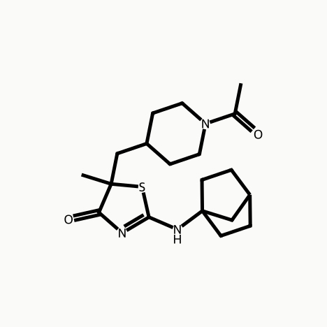 CC(=O)N1CCC(CC2(C)SC(NC34CCC(CC3)C4)=NC2=O)CC1